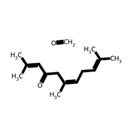 C=O.CC(C)=CCC=C(C)CC(=O)C=C(C)C